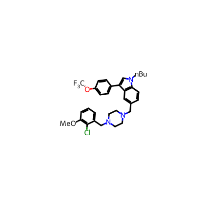 CCCCn1cc(-c2ccc(OC(F)(F)F)cc2)c2cc(CN3CCN(Cc4cccc(OC)c4Cl)CC3)ccc21